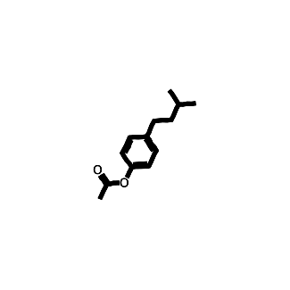 CC(=O)Oc1ccc(CCC(C)C)cc1